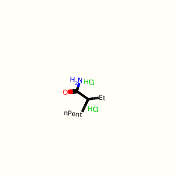 CCCCCC(CC)C(N)=O.Cl.Cl